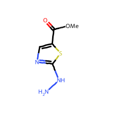 COC(=O)c1cnc(NN)s1